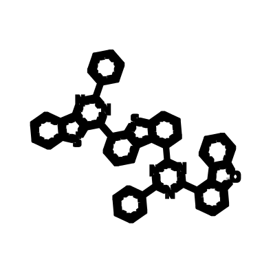 c1ccc(-c2nc(-c3cccc4oc5ccccc5c34)nc(-c3cccc4sc5c(-c6nc(-c7ccccc7)nc7c6sc6ccccc67)cccc5c34)n2)cc1